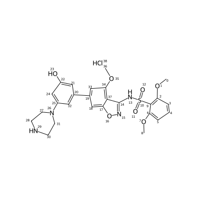 COc1cccc(OC)c1S(=O)(=O)Nc1noc2cc(-c3cc(O)cc(N4CCNCC4)c3)cc(OC)c12.Cl